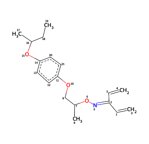 C=CC(C=C)=NOC(C)COc1ccc(OC(C)CC)cc1